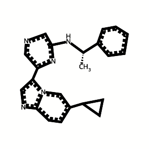 C[C@H](Nc1cncc(-c2cnc3ccc(C4CC4)cn23)n1)c1ccccc1